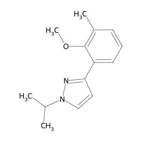 COc1c(C)cccc1-c1ccn(C(C)C)n1